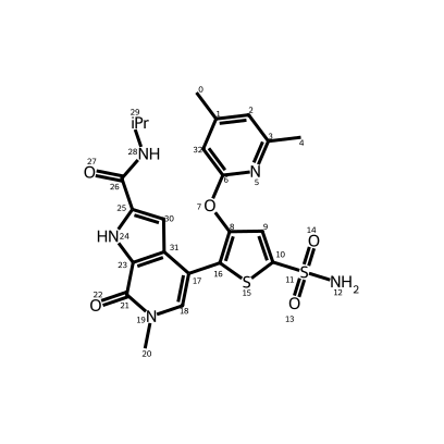 Cc1cc(C)nc(Oc2cc(S(N)(=O)=O)sc2-c2cn(C)c(=O)c3[nH]c(C(=O)NC(C)C)cc23)c1